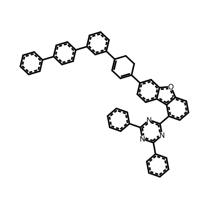 C1=C(c2cccc(-c3ccc(-c4ccccc4)cc3)c2)CCC(c2ccc3c(c2)oc2cccc(-c4nc(-c5ccccc5)nc(-c5ccccc5)n4)c23)=C1